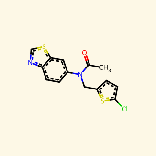 CC(=O)N(Cc1ccc(Cl)s1)c1ccc2ncsc2c1